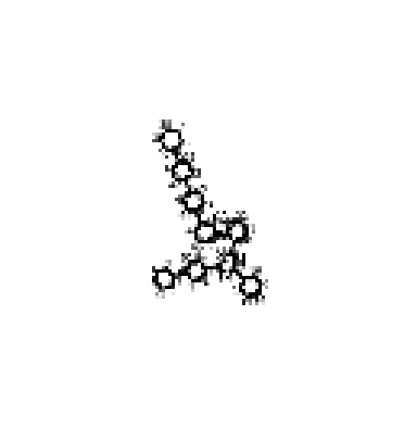 c1ccc(-c2ccc(-c3nc(-c4ccccc4)nc(-c4cccc5oc6c(-c7ccc(-c8ccc(C9CCCCC9)cc8)cc7)cccc6c45)n3)cc2)cc1